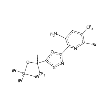 CC(C)[Si](OC(C)(c1nnc(-c2nc(Br)c(C(F)(F)F)cc2N)o1)C(F)(F)F)(C(C)C)C(C)C